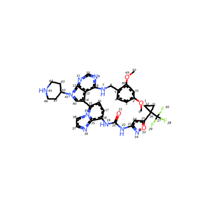 COc1ccc(CNc2ncnc3c2c(-c2ccc(NC(=O)Nc4cc(C5(C(F)(F)F)CC5)on4)c4nccn24)cn3C2CCNCC2)c(OC)c1